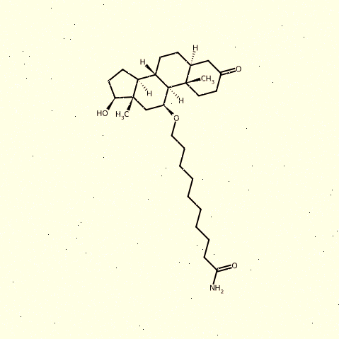 C[C@]12CCC(=O)C[C@@H]1CC[C@@H]1[C@@H]2[C@@H](OCCCCCCCCCC(N)=O)C[C@]2(C)[C@@H](O)CC[C@@H]12